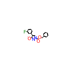 COc1nn(C(=O)OCc2ccccc2)cc1-c1cccc(F)c1